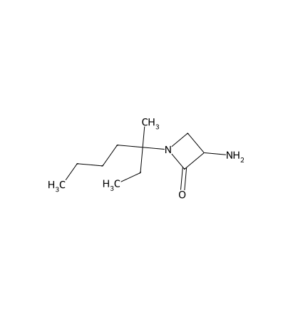 CCCCC(C)(CC)N1CC(N)C1=O